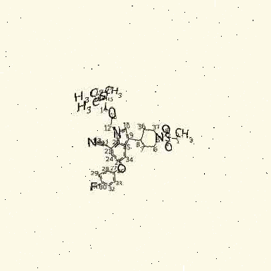 CCS(=O)(=O)N1CCC(c2cn(COCC[Si](C)(C)C)c3c(C#N)cc(Oc4ccc(F)cc4)cc23)CC1